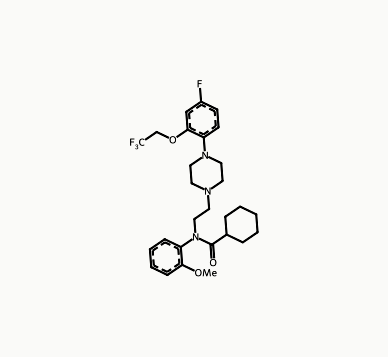 COc1ccccc1N(CCN1CCN(c2ccc(F)cc2OCC(F)(F)F)CC1)C(=O)C1CCCCC1